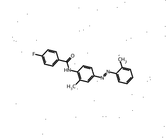 Cc1ccccc1N=Nc1ccc(NC(=O)c2ccc(F)cc2)c(C)c1